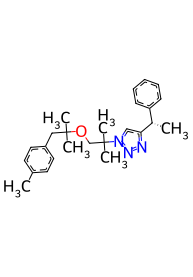 Cc1ccc(CC(C)(C)OCC(C)(C)n2cc([C@@H](C)c3ccccc3)nn2)cc1